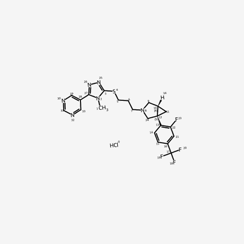 Cl.Cn1c(SCCCN2C[C@@H]3C[C@]3(c3ccc(C(F)(F)F)cc3F)C2)nnc1-c1cncnc1